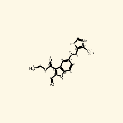 CCOC(=O)c1c(C=O)oc2ccc(OCc3scnc3C)cc12